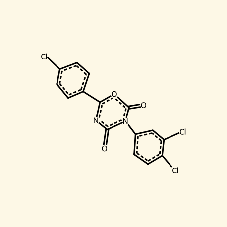 O=c1nc(-c2ccc(Cl)cc2)oc(=O)n1-c1ccc(Cl)c(Cl)c1